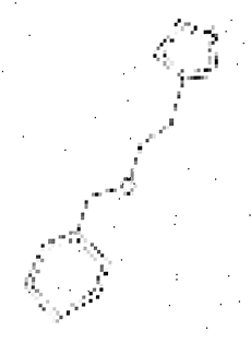 c1ccc(COCCc2ccsc2)cc1